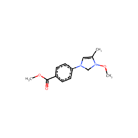 COC(=O)c1ccc(N2C=C(C)N(OC)C2)cc1